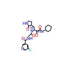 O=C(CNC(=O)c1cncc(F)c1)NC(CC1CCNC1=O)C(=O)C(=O)NC1CCCCC1